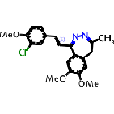 COc1ccc(/C=C/C2=NN=C(C)Cc3cc(OC)c(OC)cc32)cc1Cl